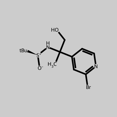 CC(CO)(N[S@@+]([O-])C(C)(C)C)c1ccnc(Br)c1